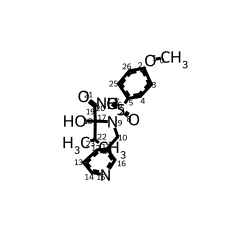 COc1ccc(S(=O)(=O)N(Cc2cccnc2)C(O)(C(N)=O)C(C)C)cc1